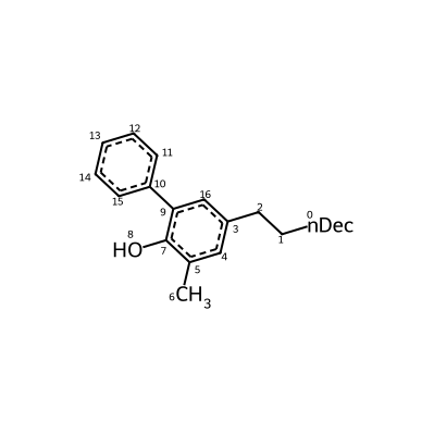 CCCCCCCCCCCCc1cc(C)c(O)c(-c2ccccc2)c1